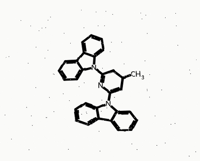 CC1C=C(n2c3ccccc3c3ccccc32)N=C(n2c3ccccc3c3ccccc32)C1